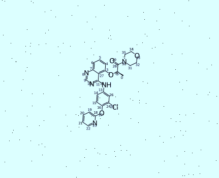 C[C@@H](Oc1cccc2ncnc(Nc3ccc(Oc4ccccn4)c(Cl)c3)c12)C(=O)N1CCOCC1